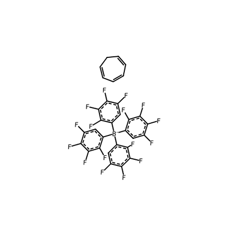 C1=CC=CCC=C1.Fc1cc([B-](c2cc(F)c(F)c(F)c2F)(c2cc(F)c(F)c(F)c2F)c2cc(F)c(F)c(F)c2F)c(F)c(F)c1F